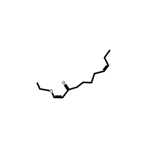 CC/C=C\CCCCC(=O)/C=C\OCC